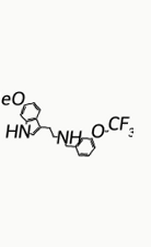 COc1ccc2c(CCNCc3cccc(OCC(F)(F)F)c3)c[nH]c2c1